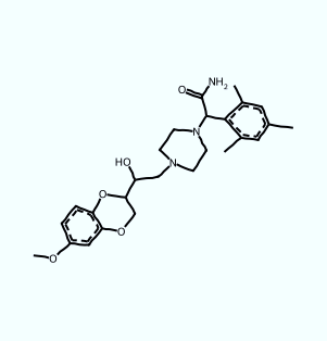 COc1ccc2c(c1)OCC(C(O)CN1CCN(C(C(N)=O)c3c(C)cc(C)cc3C)CC1)O2